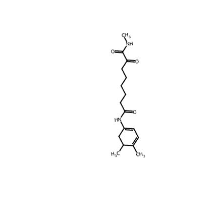 CNC(=O)C(=O)CCCCCC(=O)NC1=CC=C(C)C(C)C1